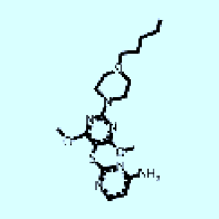 CCCCCN1CCN(c2nc(OC)c(Sc3nccc(N)n3)c(OC)n2)CC1